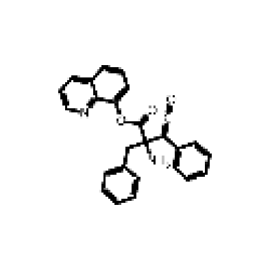 NC(Cc1ccccc1)(C(=O)Oc1cccc2cccnc12)C(=C=O)c1ccccc1